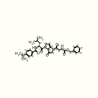 CC(C)C[C@H](NC(=O)c1ccc(N(C)C)cc1)C(=O)N1CC=C2C1C(=O)CN2C(=O)CNC(=O)OCc1ccccc1